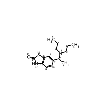 CCCN(CCC)C(C)c1ccc2[nH]c(=O)sc2c1